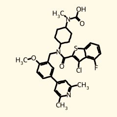 COc1ccc(-c2cc(C)nc(C)c2)cc1CN(C(=O)c1sc2cccc(F)c2c1Cl)C1CCC(N(C)C(=O)O)CC1